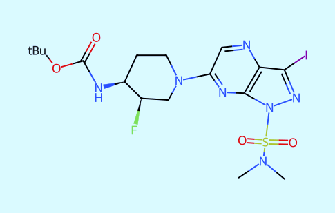 CN(C)S(=O)(=O)n1nc(I)c2ncc(N3CC[C@H](NC(=O)OC(C)(C)C)[C@H](F)C3)nc21